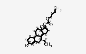 CCCCOC(=O)O[C@H]1CCC2C3C(CC[C@@]21C)C1CCC(=O)C=C1C[C@@H]3CC